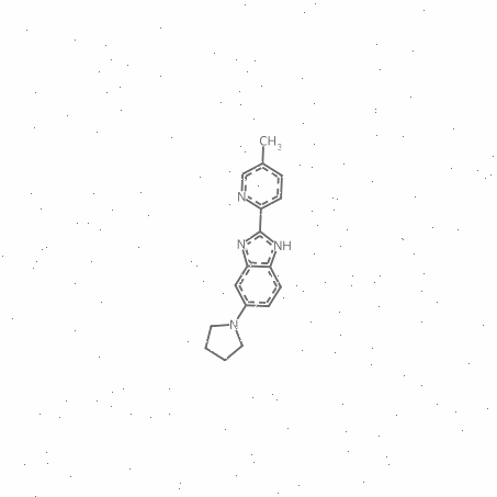 Cc1ccc(-c2nc3cc(N4CCCC4)ccc3[nH]2)nc1